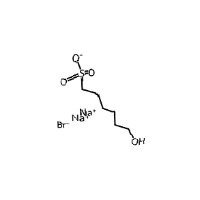 O=S(=O)([O-])CCCCCCO.[Br-].[Na+].[Na+]